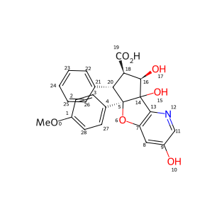 COc1ccc([C@@]23Oc4cc(O)cnc4C2(O)[C@H](O)[C@H](C(=O)O)[C@H]3c2ccccc2)cc1